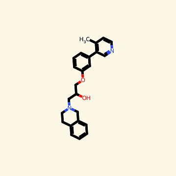 Cc1ccncc1-c1cccc(OCC(O)CN2CCc3ccccc3C2)c1